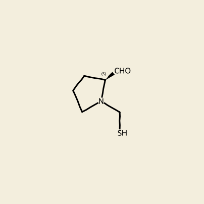 O=C[C@@H]1CCCN1CS